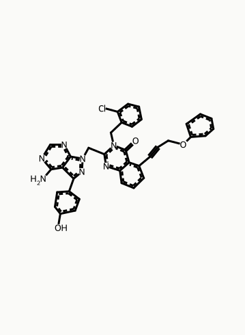 Nc1ncnc2c1c(-c1ccc(O)cc1)nn2Cc1nc2cccc(C#CCOc3ccccc3)c2c(=O)n1Cc1ccccc1Cl